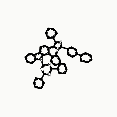 c1ccc(-c2ccc(-c3nc(-c4ccccc4)c4c5ccc6c7ccccc7n(-c7nc(-c8ccccc8)nc(-c8ccccc8)n7)c6c5c5ccccc5n34)cc2)cc1